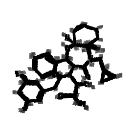 CC(C(N)=O)N(C(=O)Cc1cc(F)cc(F)c1)[C@@H]1C(=O)N(CC2CC2)[C@H]2CCCC[C@@H]2O[C@@H]1c1ccccc1